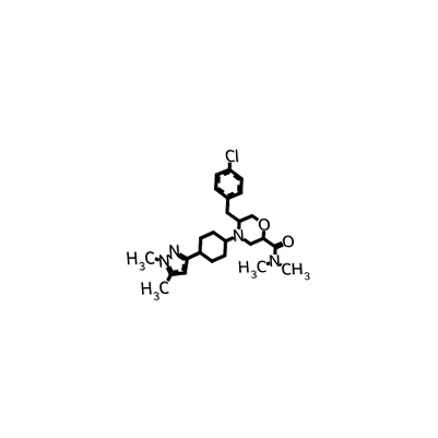 Cc1cc(C2CCC(N3CC(C(=O)N(C)C)OCC3Cc3ccc(Cl)cc3)CC2)nn1C